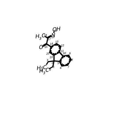 CCC1(CC)c2ccccc2-c2ccc(C(=O)C(C)=NO)cc21